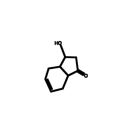 O=C1CC(O)C2CC=CCC12